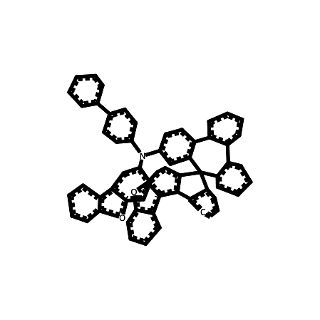 c1ccc(-c2ccc(N(c3ccc4c(c3)C3(c5ccccc5-c5ccccc5-4)c4ccccc4-c4c3ccc3oc5ccccc5c43)c3ccc4oc5ccccc5c4c3)cc2)cc1